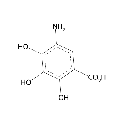 Nc1cc(C(=O)O)c(O)c(O)c1O